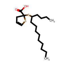 CCCCCCCCCC(CCCC)SC1(C(=O)O)CC=CS1